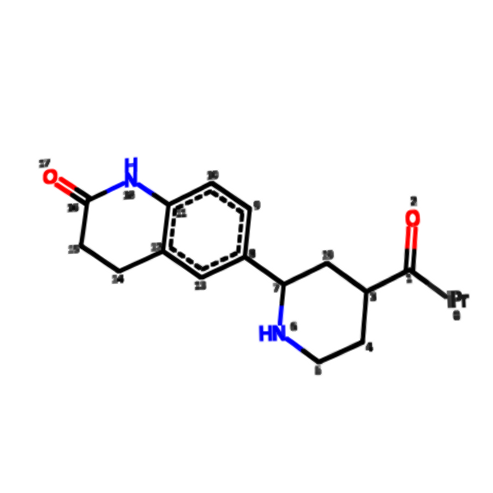 CC(C)C(=O)C1CCNC(c2ccc3c(c2)CCC(=O)N3)C1